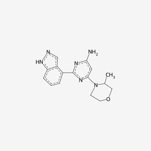 CC1COCCN1c1cc(N)nc(-c2cccc3[nH]ncc23)n1